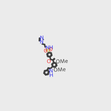 C=C(C(=O)c1ccc(S(=O)(=O)NCCCn2ccnc2)cc1)c1cc(-c2cc3ccccc3[nH]2)c(OC)cc1OC